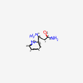 NC(=O)CC(N)c1ccccn1